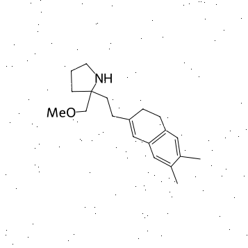 COCC1(CCC2=Cc3cc(C)c(C)cc3CC2)CCCN1